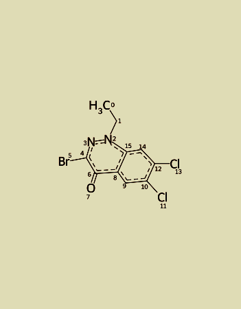 CCn1nc(Br)c(=O)c2cc(Cl)c(Cl)cc21